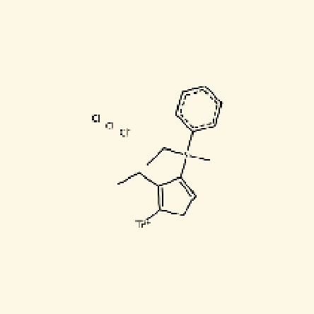 CCC1=[C]([Ti+3])CC=C1[Si](C)(CC)c1ccccc1.[Cl-].[Cl-].[Cl-]